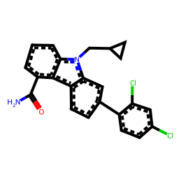 NC(=O)c1cccc2c1c1[c]cc(-c3ccc(Cl)cc3Cl)cc1n2CC1CC1